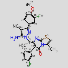 Cc1csc2nc([C@H](C)n3nc(-c4ccc(OC(C)C)c(F)c4)c(C#N)c3N)c(-c3cccc(F)c3)c(=O)n12